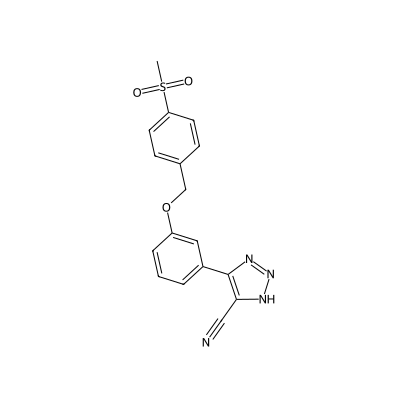 CS(=O)(=O)c1ccc(COc2cccc(-c3nn[nH]c3C#N)c2)cc1